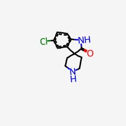 O=C1Nc2ccc(Cl)cc2C12CCNCC2